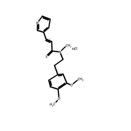 COc1ccc(CCN(C)C(=S)/C=C/c2cccnc2)cc1OC.Cl